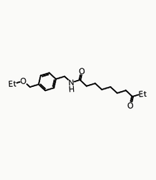 CCOCc1ccc(CNC(=O)CCCCCCC(=O)CC)cc1